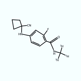 [2H]C([2H])([2H])NC(=O)c1ccc(NC2(C#N)CCC2)cc1F